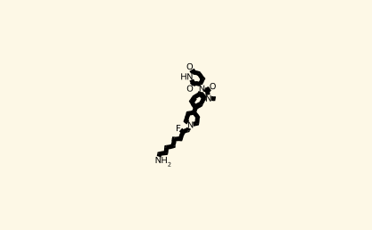 Cn1c(=O)n(C2CCC(=O)NC2=O)c2ccc(C3CCN(CC(F)CCCCCCN)CC3)cc21